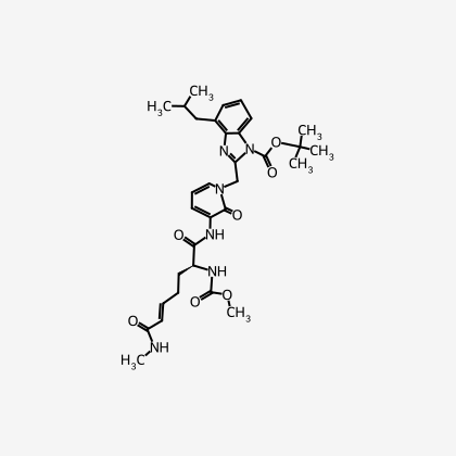 CNC(=O)/C=C/CC[C@H](NC(=O)OC)C(=O)Nc1cccn(Cc2nc3c(CC(C)C)cccc3n2C(=O)OC(C)(C)C)c1=O